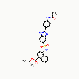 CC(=O)Nc1ccc(-c2nc3cc(S(=O)(=O)Nc4ccc(C(=O)OC(C)C)c5ccccc45)ccc3[nH]2)cc1